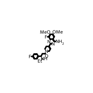 CCNC(CC(=O)N1CC=C(c2nc(N)c3cc(OC)c(OC)c(F)c3n2)CC1)c1ccc(F)cc1